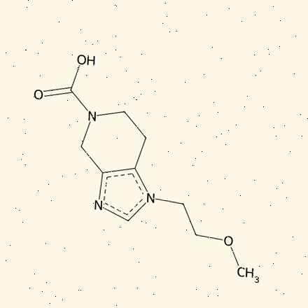 COCCn1cnc2c1CCN(C(=O)O)C2